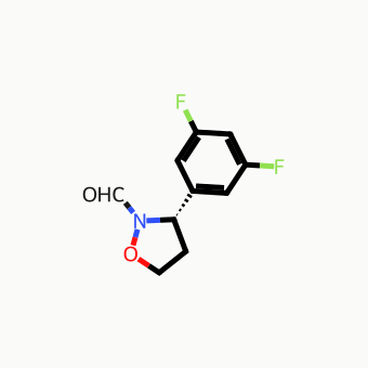 O=CN1OCC[C@H]1c1cc(F)cc(F)c1